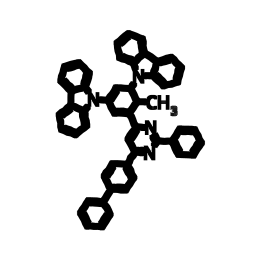 CC1C(c2cc(-c3ccc(-c4ccccc4)cc3)nc(-c3ccccc3)n2)=CC(n2c3ccccc3c3ccccc32)=CC1n1c2ccccc2c2ccccc21